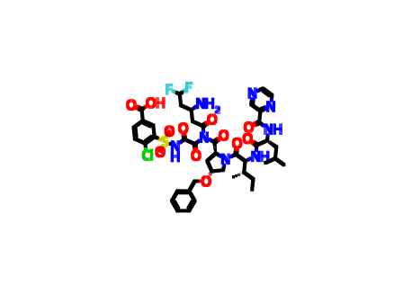 CC[C@H](C)[C@H](NC(=O)[C@H](CC(C)C)NC(=O)c1cnccn1)C(=O)N1C[C@H](OCc2ccccc2)C[C@H]1C(=O)N(C(=O)C[C@H](N)CC(F)F)C(=O)C(=O)NS(=O)(=O)c1cc(C(=O)O)ccc1Cl